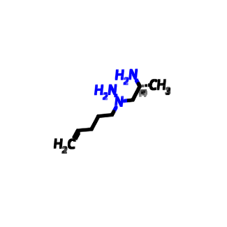 C=CCCCN(N)C[C@@H](C)N